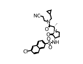 C[C@@H](C(=O)N(CCC#N)CC1CC1)N1CC[C@H](NS(=O)(=O)c2ccc3cc(Cl)ccc3c2)C1=O